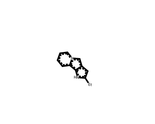 CCc1cc2cn3ccccc3c2[nH]1